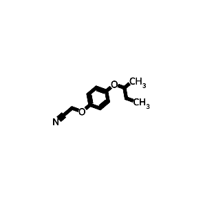 CCC(C)Oc1ccc(OCC#N)cc1